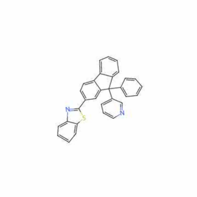 c1ccc(C2(c3cccnc3)c3ccccc3-c3ccc(-c4nc5ccccc5s4)cc32)cc1